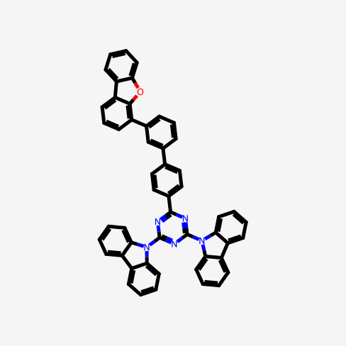 c1cc(-c2ccc(-c3nc(-n4c5ccccc5c5ccccc54)nc(-n4c5ccccc5c5ccccc54)n3)cc2)cc(-c2cccc3c2oc2ccccc23)c1